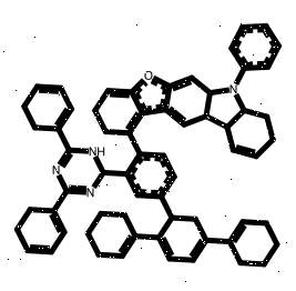 C1=CCCC(C2=NC(c3cc(C4CC(C5=CCCCC5)=CC=C4C4=CCCCC4)ccc3C3=c4c(oc5c4=CC4C6C=CCCC6N(c6ccccc6)C4C=5)=CCC3)NC(C3=CC=CCC3)=N2)=C1